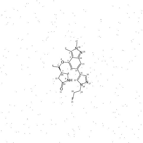 Cc1c2c(OC(C)[C@H]3CNC(=O)C3)cc(-c3cnn(CCF)c3)cc2nn1C